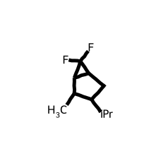 CC(C)C1CC2C(C1C)C2(F)F